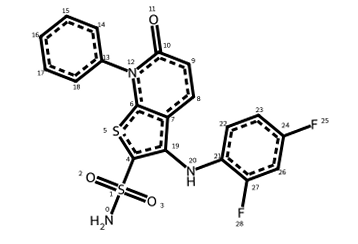 NS(=O)(=O)c1sc2c(ccc(=O)n2-c2ccccc2)c1Nc1ccc(F)cc1F